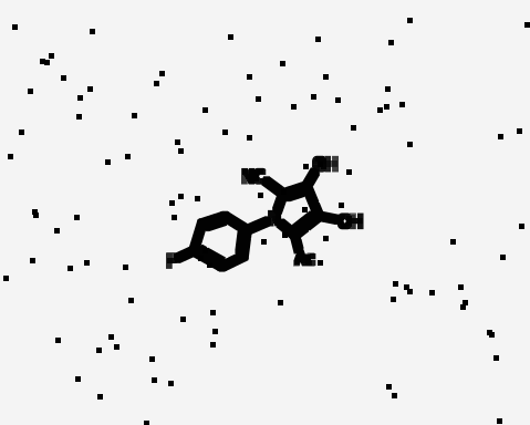 CC(=O)c1c(O)c(O)c(C#N)n1-c1ccc(F)cc1